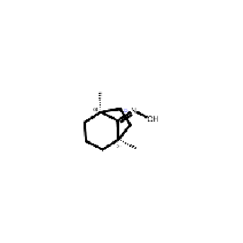 C[C@]12CCC[C@](C)(CC1)/C2=N\O